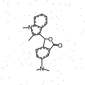 Cc1c(C2OC(=O)c3cc(N(C)C)ccc32)c2ccccc2n1C